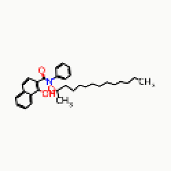 CCCCCCCCCCCCC(C)ON(C(=O)c1ccc2ccccc2c1O)c1ccccc1